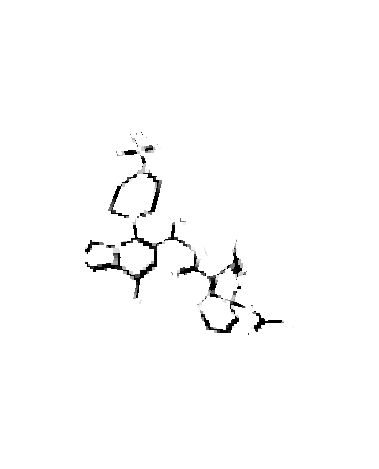 CC(NC(=O)C1=C2N=CC=C[N+]2(OC(=O)C(F)(F)F)N=C1N)c1cc(Cl)c2cncn2c1N1CCN(S(C)(=O)=O)CC1